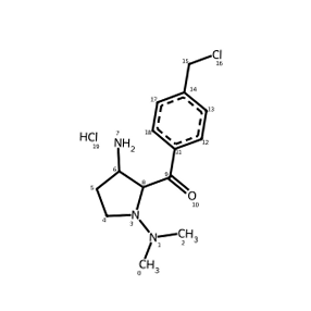 CN(C)N1CCC(N)C1C(=O)c1ccc(CCl)cc1.Cl